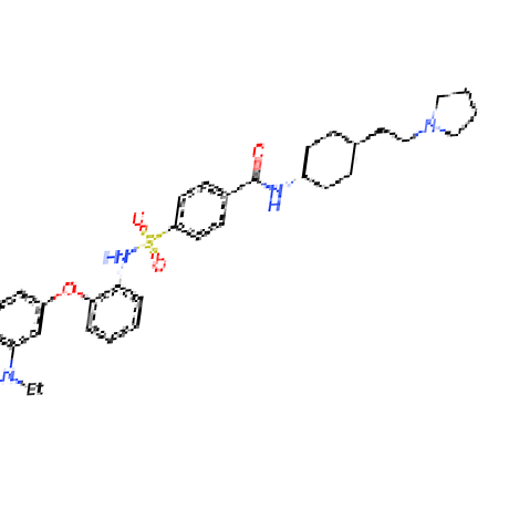 CCN(CC)c1cccc(Oc2ccccc2NS(=O)(=O)c2ccc(C(=O)N[C@H]3CC[C@H](CCN4CCCC4)CC3)cc2)c1